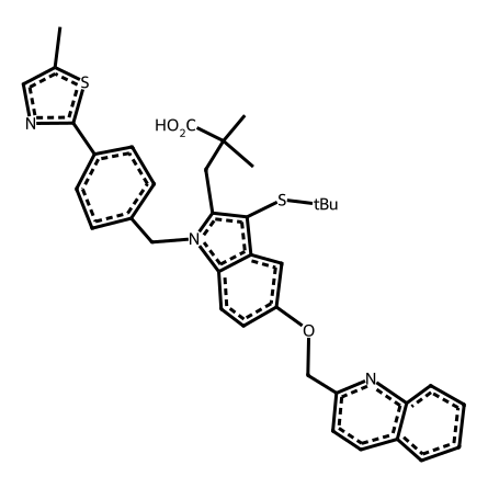 Cc1cnc(-c2ccc(Cn3c(CC(C)(C)C(=O)O)c(SC(C)(C)C)c4cc(OCc5ccc6ccccc6n5)ccc43)cc2)s1